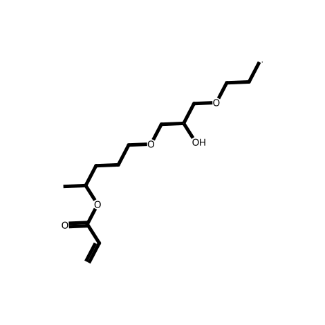 [CH2]CCOCC(O)COCCCC(C)OC(=O)C=C